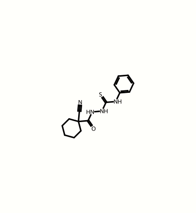 N#CC1(C(=O)NNC(=S)Nc2ccccc2)CCCCC1